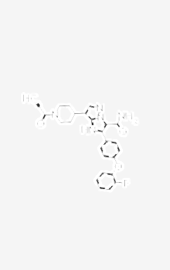 C#CC(=O)N1CCC(c2cnn3c(C(N)=O)c(-c4ccc(Oc5ccccc5F)cc4)[nH]c23)CC1